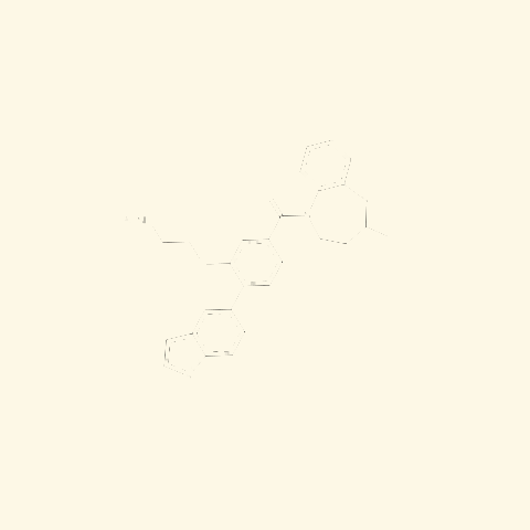 CC(=O)NCCOc1cc(C(=O)N2CCC(C)Nc3ccccc32)ccc1-c1ccc2[nH]ccc2c1